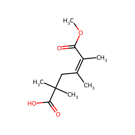 COC(=O)/C(C)=C(/C)CC(C)(C)C(=O)O